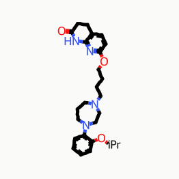 CC(C)Oc1ccccc1N1CCCN(CCCCOc2ccc3c(n2)NC(=O)CC3)CC1